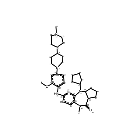 COc1cc(N2CCC(N3CCN(C)CC3)CC2)ccc1Nc1ncc2c(n1)N(C1CCCC1)C1CCCC1C(=O)N2C